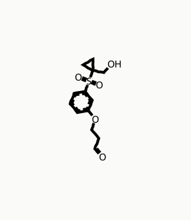 O=CCCOc1cccc(S(=O)(=O)C2(CO)CC2)c1